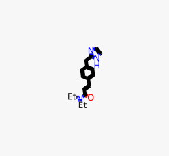 CCN(CC)C(=O)C=Cc1ccc(Cc2ncc[nH]2)cc1